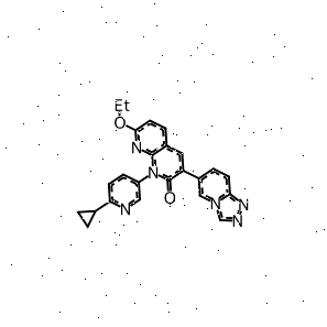 CCOc1ccc2cc(-c3ccc4nncn4c3)c(=O)n(-c3ccc(C4CC4)nc3)c2n1